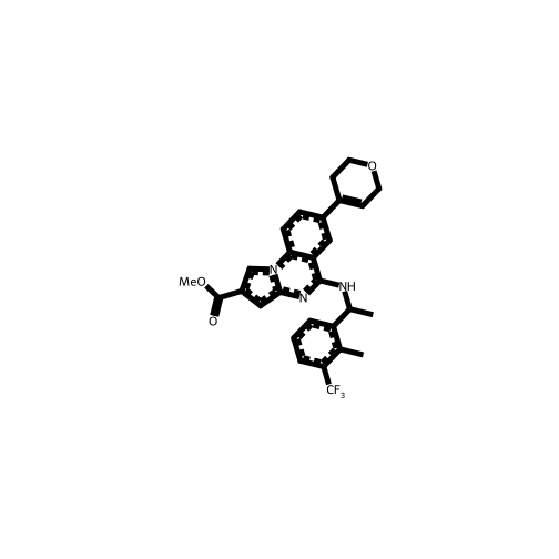 COC(=O)c1cc2nc(NC(C)c3cccc(C(F)(F)F)c3C)c3cc(C4=CCOCC4)ccc3n2c1